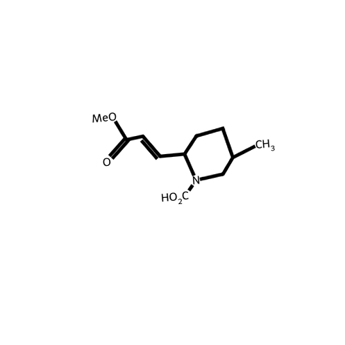 COC(=O)C=CC1CCC(C)CN1C(=O)O